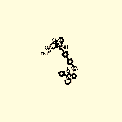 CC(C)(C)OC(=O)N1CCC(C)(C(=O)N2CCC[C@H]2c2ncc(-c3ccc(-c4ccc(-c5cnc([C@@H]6CCCN6C(=O)C(c6ccccc6)N6CCCCC6)[nH]5)cc4)cc3)[nH]2)CC1